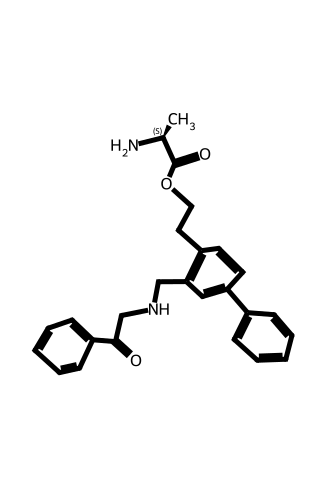 C[C@H](N)C(=O)OCCc1ccc(-c2ccccc2)cc1CNCC(=O)c1ccccc1